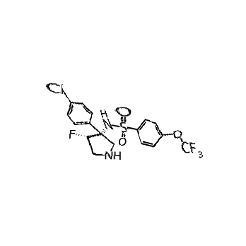 O=S(=O)(N[C@]1(c2ccc(Cl)cc2)CNC[C@@H]1F)c1ccc(OC(F)(F)F)cc1